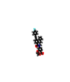 CC1(C)OC(=O)c2ccc(N(CCCC3CCCC3)C(=O)c3ccc(C#Cc4ccc(F)cc4)cc3)cc2O1